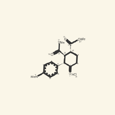 CNc1ccc([C@H]2C(=O)CC[C@@H](C(=O)OC)[C@@H]2C(=O)OC)cc1.Cl